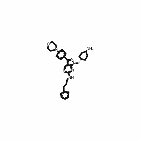 N[C@H]1CC[C@H](Cn2nc(-c3ccc(N4CCOCC4)cc3)c3cnc(NCCCc4ccccc4)nc32)CC1